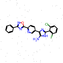 Nc1[nH]c(-c2c(F)cccc2Cl)nc1-c1ccc(-c2nc(-c3ccccc3)no2)nc1